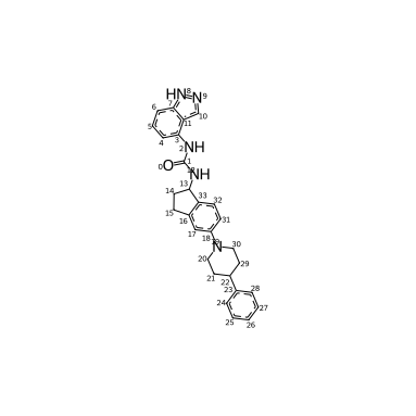 O=C(Nc1cccc2[nH]ncc12)NC1CCc2cc(N3CCC(c4ccccc4)CC3)ccc21